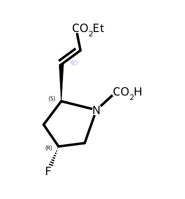 CCOC(=O)/C=C/[C@@H]1C[C@@H](F)CN1C(=O)O